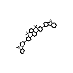 CN1C2=CC=C(c3ccc4c(c3)C(C)(C)c3ccc5c6c(ccc-4c36)-c3ccc(-c4ccc6c(c4)c4ccccc4n6C)cc3C5(C)C)CC2c2ccccc21